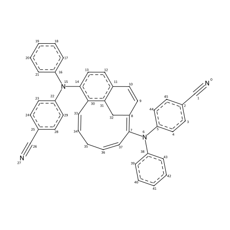 N#Cc1ccc(N(C2=C3\C=Cc4ccc(N(c5ccccc5)c5ccc(C#N)cc5)c(c4C3)/C=C\C/C=C\2)c2ccccc2)cc1